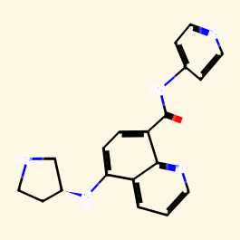 O=C(Nc1ccncc1)c1ccc(N[C@H]2CCNC2)c2cccnc12